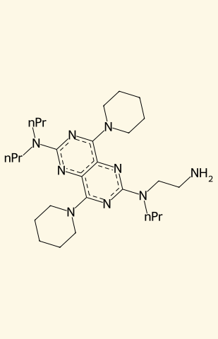 CCCN(CCC)c1nc(N2CCCCC2)c2nc(N(CCC)CCN)nc(N3CCCCC3)c2n1